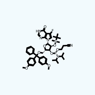 COc1ccc(C(OC[C@@H]2O[C@H](n3cc(F)c4c(=O)[nH]cnc43)[C@@H](O[Si](C)(C)C(C)(C)C)[C@H]2OP(OCCC#N)N(C(C)C)C(C)C)(c2ccccc2)c2ccc(OC)cc2)cc1